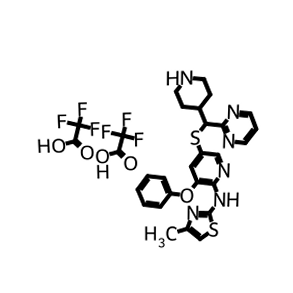 Cc1csc(Nc2ncc(SC(c3ncccn3)C3CCNCC3)cc2Oc2ccccc2)n1.O=C(O)C(F)(F)F.O=C(O)C(F)(F)F